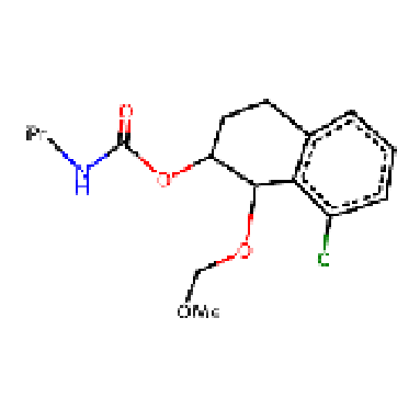 COCOC1c2c(Cl)cccc2CCC1OC(=O)NC(C)C